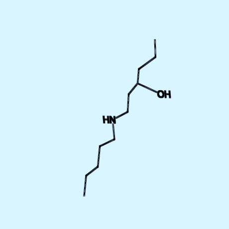 CCCCCNCCC(O)CCC